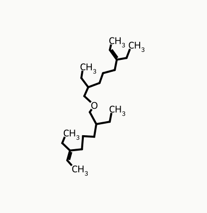 CC=C(CC)CCCC(CC)COCC(CC)CCCC(=CC)CC